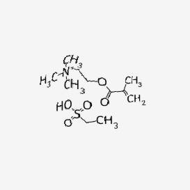 C=C(C)C(=O)OCC[N+](C)(C)C.CCS(=O)(=O)O